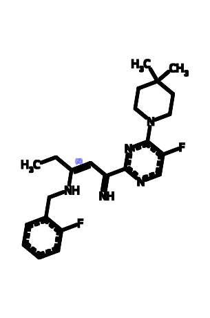 CC/C(=C/C(=N)c1ncc(F)c(N2CCC(C)(C)CC2)n1)NCc1ccccc1F